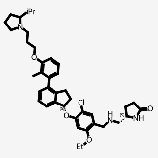 CCOc1cc(O[C@H]2CCc3c(-c4cccc(OCCCN5CCCC5C(C)C)c4C)cccc32)c(Cl)cc1CNC[C@@H]1CCC(=O)N1